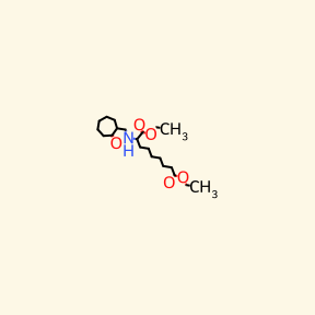 CCOC(=O)CCCCCCC(NCC1CCCCCC1=O)C(=O)OCC